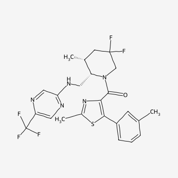 Cc1cccc(-c2sc(C)nc2C(=O)N2CC(F)(F)C[C@@H](C)[C@H]2CNc2cnc(C(F)(F)F)cn2)c1